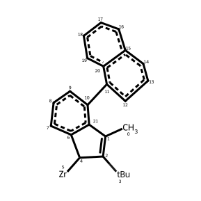 CC1=C(C(C)(C)C)[CH]([Zr])c2cccc(-c3cccc4ccccc34)c21